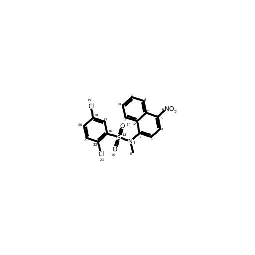 CN(c1ccc([N+](=O)[O-])c2ccccc12)S(=O)(=O)c1cc(Cl)ccc1Cl